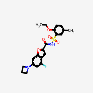 CCOc1ccc(C)cc1S(=O)(=O)NC(=O)c1cc2c(F)cc(N3CCC3)cc2o1